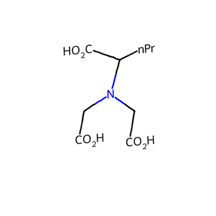 CCCC(C(=O)O)N(CC(=O)O)CC(=O)O